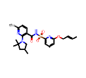 CC=CCOc1cccc(S(=O)(=O)NC(=O)c2ccc(C(C)(C)C)nc2N2CC(C)CC2(C)C)n1